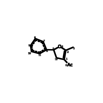 CC(=O)C1=C(C)OC(c2ccccc2)C1